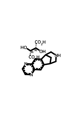 O=C(O)[C@H](O)[C@@H](O)C(=O)O.c1cnc2cc3c(cc2n1)C1CNCC3C1